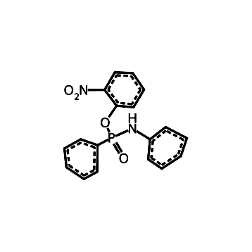 O=[N+]([O-])c1ccccc1OP(=O)(Nc1ccccc1)c1ccccc1